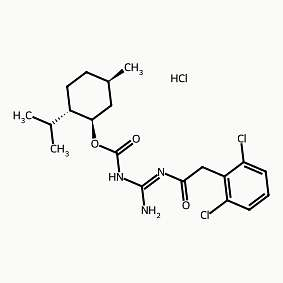 CC(C)[C@@H]1CC[C@@H](C)C[C@H]1OC(=O)NC(N)=NC(=O)Cc1c(Cl)cccc1Cl.Cl